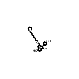 CCc1c(-c2ccc(O)cc2)c2c(COCCCCCCCCN3CCCCC3)cc3c(O)ccc1n32